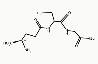 CC(C)(C)C(=O)CNC(=O)C(CS)NC(=O)CC[C@@H](N)C(=O)O